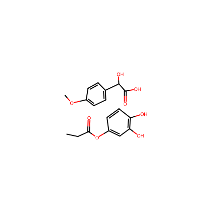 CCC(=O)Oc1ccc(O)c(O)c1.COc1ccc(C(O)C(=O)O)cc1